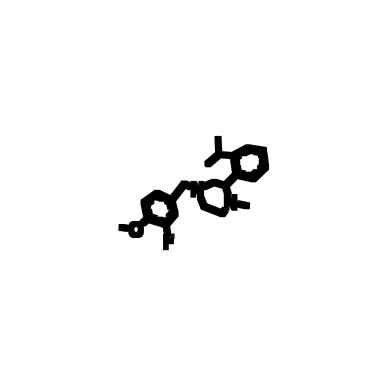 COc1ccc(CN2CCN(C)C(c3ccccc3C(C)C)C2)cc1F